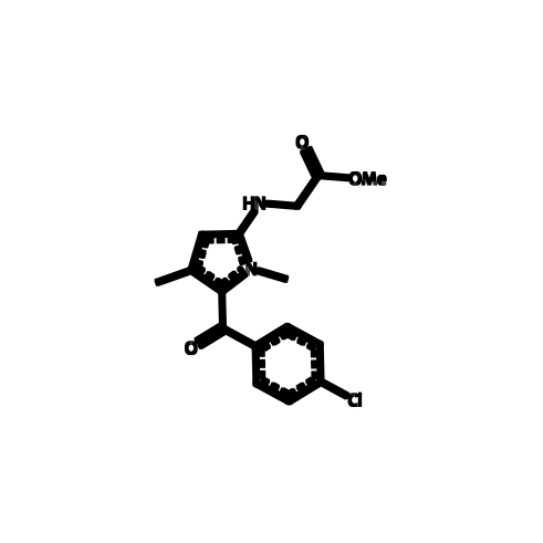 COC(=O)CNc1cc(C)c(C(=O)c2ccc(Cl)cc2)n1C